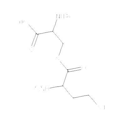 CC(=O)NC(CCS)C(=O)SCC(NC(C)=O)C(=O)C(C)(C)C